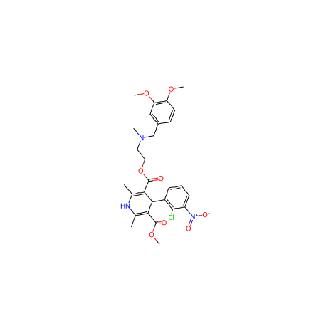 COC(=O)C1=C(C)NC(C)=C(C(=O)OCCN(C)Cc2ccc(OC)c(OC)c2)C1c1cccc([N+](=O)[O-])c1Cl